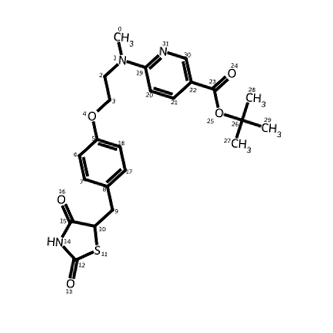 CN(CCOc1ccc(CC2SC(=O)NC2=O)cc1)c1ccc(C(=O)OC(C)(C)C)cn1